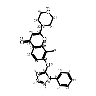 Cc1c(Oc2nnnn2-c2ccccc2)ccc2c(=O)cc(N3CCOCC3)oc12